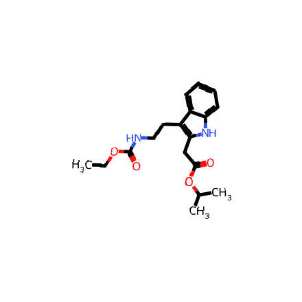 CCOC(=O)NCCc1c(CC(=O)OC(C)C)[nH]c2ccccc12